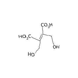 O=C(O)/C(CO)=C(/CO)C(=O)O